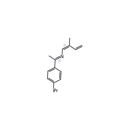 C=C/C(C)=C\N=C(/C)c1ccc(C(C)C)cc1